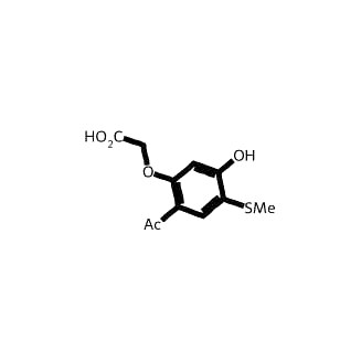 CSc1cc(C(C)=O)c(OCC(=O)O)cc1O